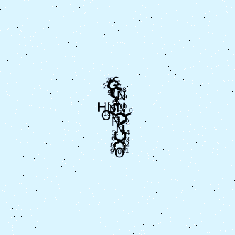 Cc1cc(N2CCC3(CCOCC3)CC2)nc2c(=O)[nH]c(-c3cc4ccsc4cn3)nc12